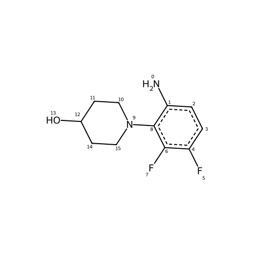 Nc1ccc(F)c(F)c1N1CCC(O)CC1